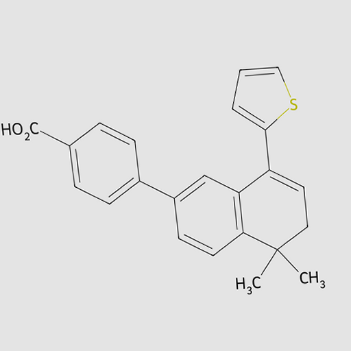 CC1(C)CC=C(c2cccs2)c2cc(-c3ccc(C(=O)O)cc3)ccc21